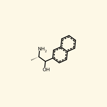 C[C@H](N)C(O)c1ccc2ccccc2c1